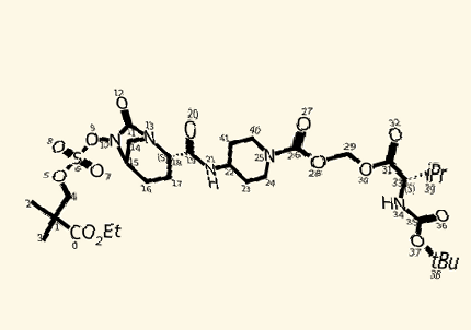 CCOC(=O)C(C)(C)COS(=O)(=O)ON1C(=O)N2CC1CC[C@H]2C(=O)NC1CCN(C(=O)OCOC(=O)[C@@H](NC(=O)OC(C)(C)C)C(C)C)CC1